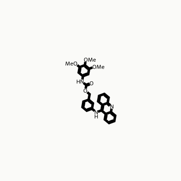 COc1cc(NC(=O)OCc2cccc(Nc3c4ccccc4nc4ccccc34)c2)cc(OC)c1OC